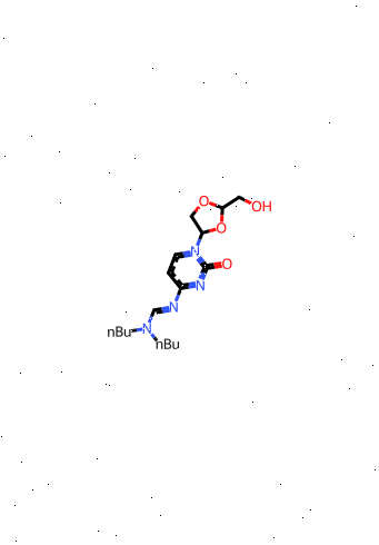 CCCCN(C=Nc1ccn(C2COC(CO)O2)c(=O)n1)CCCC